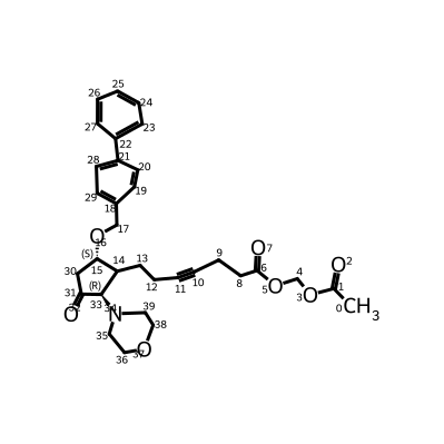 CC(=O)OCOC(=O)CCC#CCCC1[C@@H](OCc2ccc(-c3ccccc3)cc2)CC(=O)[C@@H]1N1CCOCC1